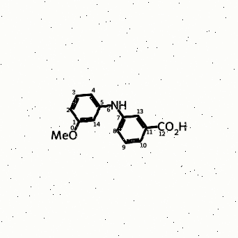 COc1cccc(Nc2cccc(C(=O)O)c2)c1